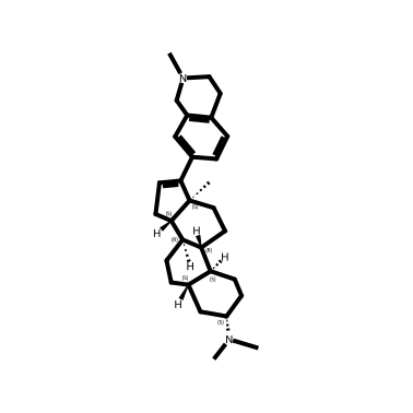 CN1CCc2ccc(C3=CC[C@H]4[C@@H]5CC[C@H]6C[C@@H](N(C)C)CC[C@@H]6[C@H]5CC[C@]34C)cc2C1